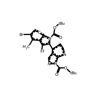 CCc1c(-c2ccnc3c2cnn3C(=O)OC(C)(C)C)n(C(=O)OC(C)(C)C)c2ccc(Br)c(C)c12